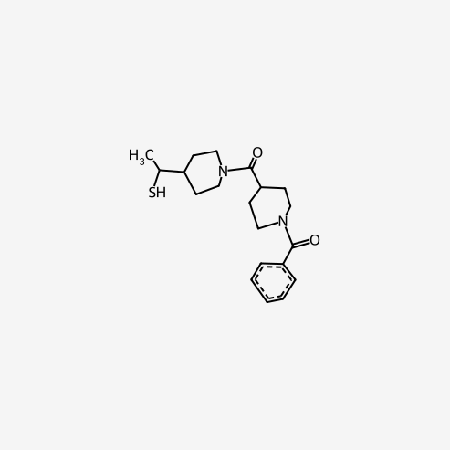 CC(S)C1CCN(C(=O)C2CCN(C(=O)c3ccccc3)CC2)CC1